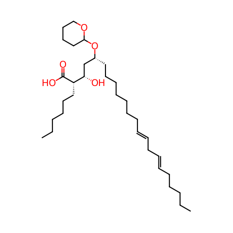 CCCCCC=CCC=CCCCCCCC[C@H](C[C@H](O)[C@H](CCCCCC)C(=O)O)OC1CCCCO1